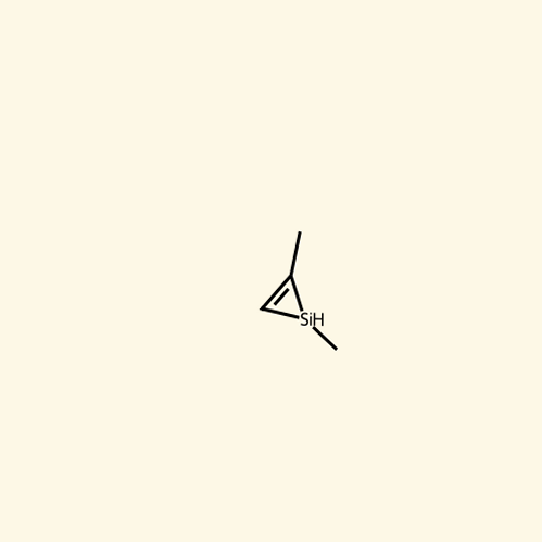 CC1=C[SiH]1C